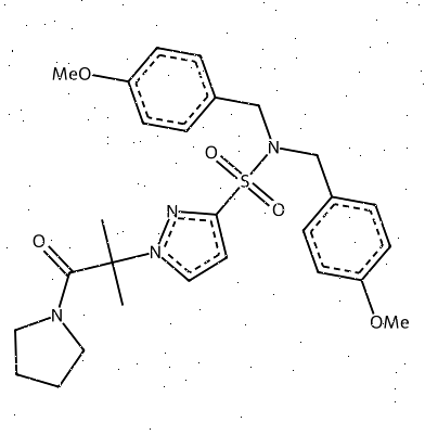 COc1ccc(CN(Cc2ccc(OC)cc2)S(=O)(=O)c2ccn(C(C)(C)C(=O)N3CCCC3)n2)cc1